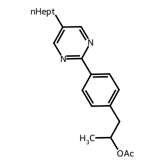 CCCCCCCc1cnc(-c2ccc(CC(C)OC(C)=O)cc2)nc1